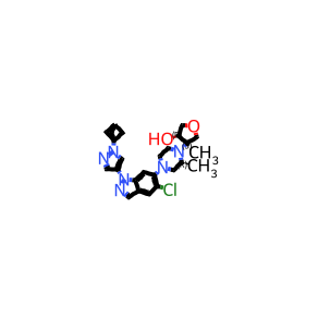 C[C@@H]1CN(c2cc3c(cnn3-c3cnn(C45CC(C4)C5)c3)cc2Cl)CCN1[C@@]1(C)COC[C@@H]1O